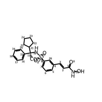 O=C(/C=C/c1cccc(S(=O)(=O)N[C@](C(=O)O)(c2ccccc2)C2CCCC2)c1)NO